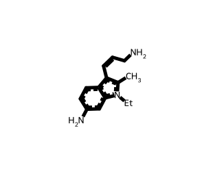 CCn1c(C)c(/C=C\CN)c2ccc(N)cc21